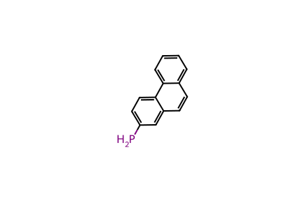 Pc1ccc2c(ccc3ccccc32)c1